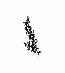 CCOC(=O)c1c(NC(=O)c2ccc(S(=O)(=O)N3CCN(C(=O)OCC)CC3)cc2)sc2c1CCN(C(C)C)C2